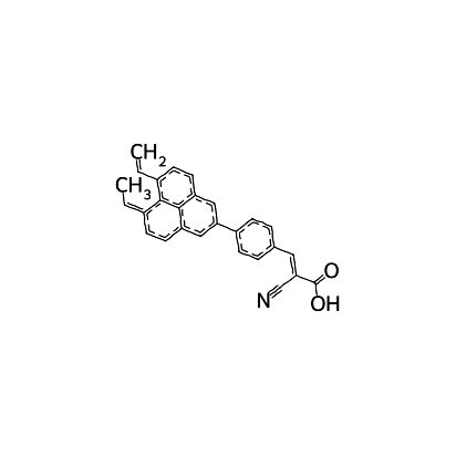 C=Cc1ccc2cc(-c3ccc(/C=C(\C#N)C(=O)O)cc3)cc3cc/c(=C/C)c1c23